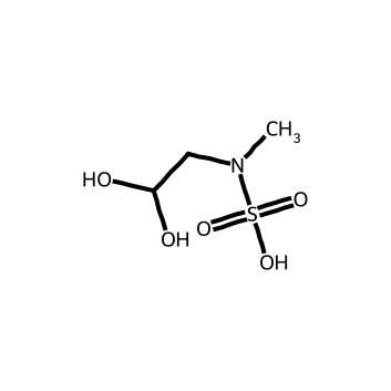 CN(CC(O)O)S(=O)(=O)O